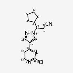 N#CCC(C1CCCC1)n1cc(-c2ccnc(Cl)n2)cn1